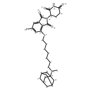 CN(CCCCCCCSc1cc(F)cc2c1C(=O)N(C1CCC(=O)NC1=O)C2=O)C12CC3CC(CC(C3)C1)C2